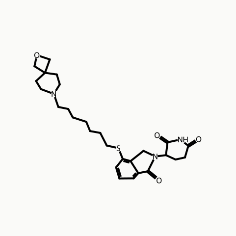 O=C1CCC(N2Cc3c(SCCCCCCCN4CCC5(CC4)COC5)cccc3C2=O)C(=O)N1